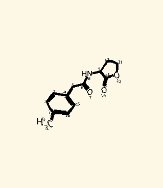 Cc1ccc(CC(=O)NC2CCOC2=O)cc1